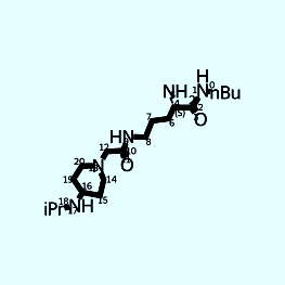 CCCCNC(=O)[C@@H](N)CCCNC(=O)CN1CCC(NC(C)C)CC1